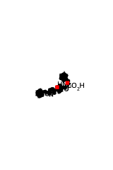 O=C(NC(Cc1ccccc1)C(=O)O)c1ccc(-c2ccc(OCc3ccccc3)nc2)cc1